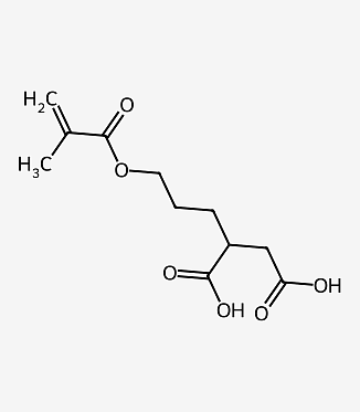 C=C(C)C(=O)OCCCC(CC(=O)O)C(=O)O